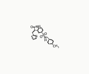 Cc1ccc(CNS(=O)(=O)c2ccc3c(c2)/C(=C\c2nccs2)C(=O)N3)cc1